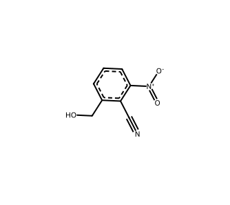 N#Cc1c(CO)cccc1[N+](=O)[O-]